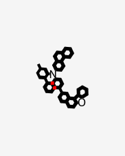 CC1C=C(N(c2ccc(-c3ccc4ccc5oc6ccccc6c5c4c3)cc2)c2ccc3c(ccc4ccccc43)c2)C(c2ccccc2)=CC1